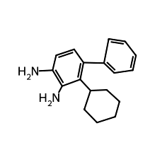 Nc1ccc(-c2ccccc2)c(C2CCCCC2)c1N